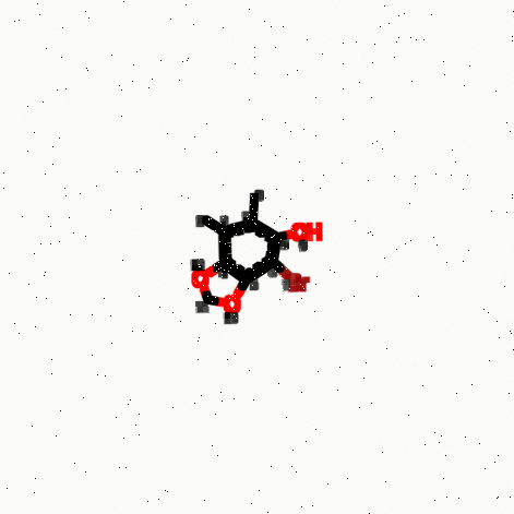 Cc1c(C)c2c(c(Br)c1O)OCO2